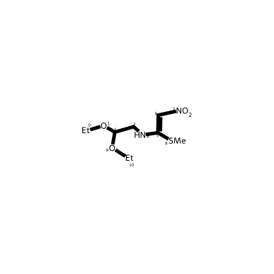 CCOC(CNC(=C[N+](=O)[O-])SC)OCC